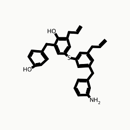 C=CCc1cc(Cc2cccc(N)c2)cc(Sc2cc(CC=C)c(O)c(Cc3ccc(O)cc3)c2)c1